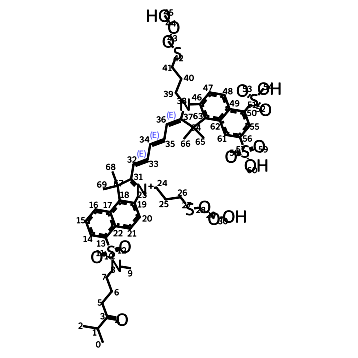 CC(C)C(=O)CCCN(C)S(=O)(=O)c1cccc2c3c(ccc12)[N+](CCCSOOO)=C(/C=C/C=C/C=C1/N(CCCSOOO)c2ccc4c(S(=O)(=O)O)cc(S(=O)(=O)O)cc4c2C1(C)C)C3(C)C